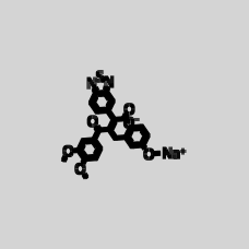 COc1cccc(CC(C(=O)c2ccc(OC)c(OC)c2)=C(C(=O)[O-])c2ccc3nsnc3c2)c1.[Na+]